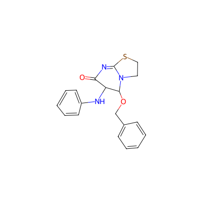 O=C1N=C2SCCN2C(OCc2ccccc2)C1Nc1ccccc1